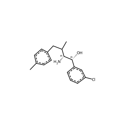 Cc1ccc(CC(C)[C@@H](N)[C@H](O)c2cccc(Cl)c2)cc1